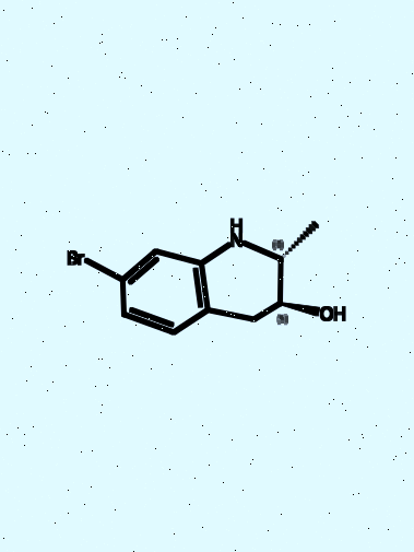 C[C@H]1Nc2cc(Br)ccc2C[C@@H]1O